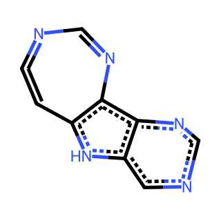 C1=Cc2[nH]c3cncnc3c2N=CN=1